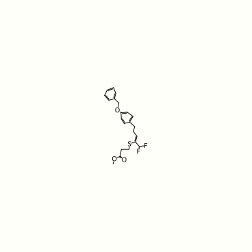 COC(=O)CCS/C(=C\CCc1ccc(OCc2ccccc2)cc1)C(F)F